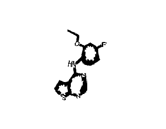 CCOc1cc(F)ccc1Nc1ncnc2sccc12